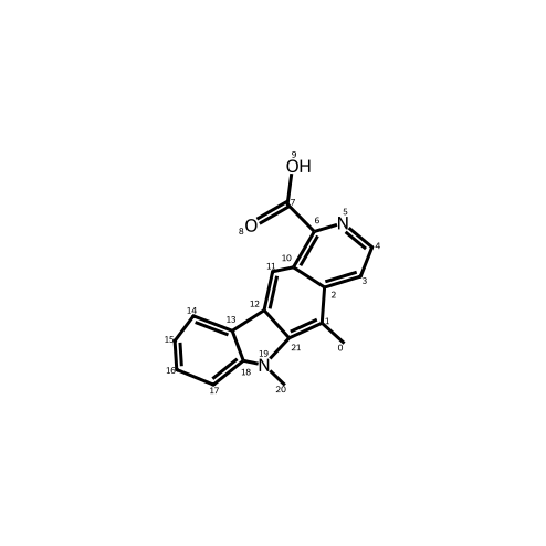 Cc1c2ccnc(C(=O)O)c2cc2c3ccccc3n(C)c12